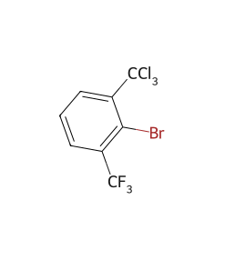 FC(F)(F)c1cccc(C(Cl)(Cl)Cl)c1Br